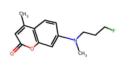 Cc1cc(=O)oc2cc(N(C)CCCF)ccc12